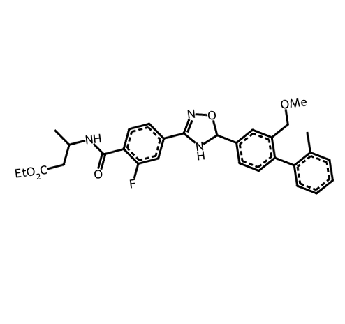 CCOC(=O)CC(C)NC(=O)c1ccc(C2=NOC(c3ccc(-c4ccccc4C)c(COC)c3)N2)cc1F